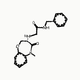 CN1C(=O)[C@@H](NCC(=O)NCc2ccccc2)COc2ccccc21